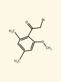 COc1cc(C)cc(C)c1C(=O)CBr